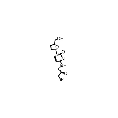 CC(C)CC(=O)ONc1ccn([C@H]2CC[C@@H](CO)O2)c(=O)n1